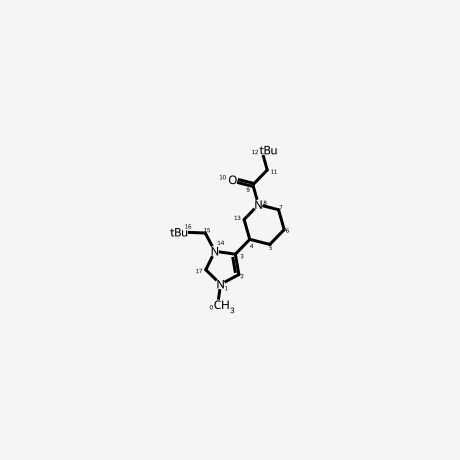 CN1C=C(C2CCCN(C(=O)CC(C)(C)C)C2)N(CC(C)(C)C)C1